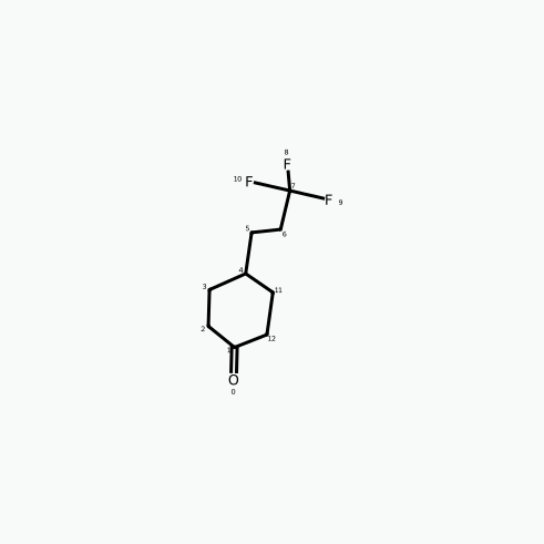 O=C1CCC(CCC(F)(F)F)CC1